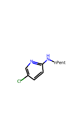 CCCCCNc1ccc(Cl)cn1